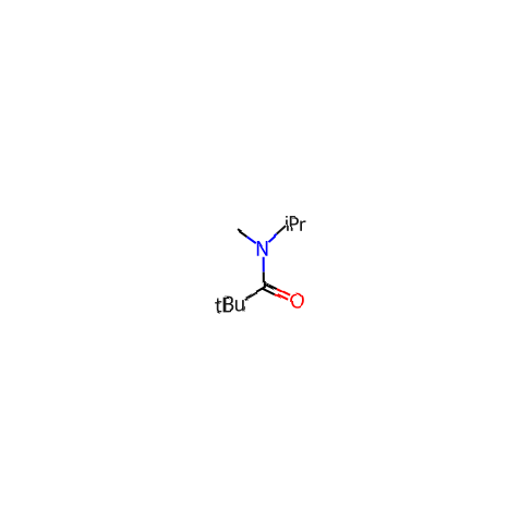 CC(C)N(C)C(=O)C(C)(C)C